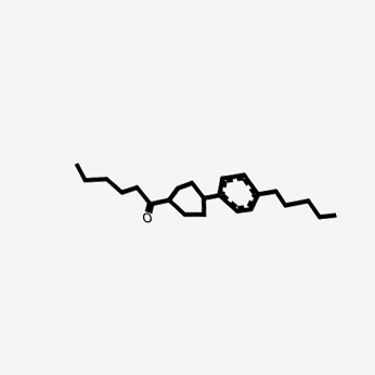 CCCCCC(=O)C1CCC(c2ccc(CCCCC)cc2)CC1